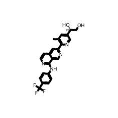 Cc1cc([C@H](O)CO)cnc1-c1cc2ccnc(Nc3ccc(C(F)(F)F)cc3)c2cn1